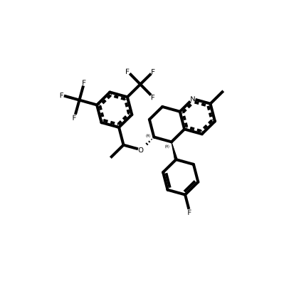 Cc1ccc2c(n1)CC[C@@H](OC(C)c1cc(C(F)(F)F)cc(C(F)(F)F)c1)[C@@H]2C1C=CC(F)=CC1